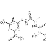 C[C@H](NC(=O)[C@@H](N)CO)C(=O)NCC(=O)N[C@@H](CCC(N)=O)C(=O)O